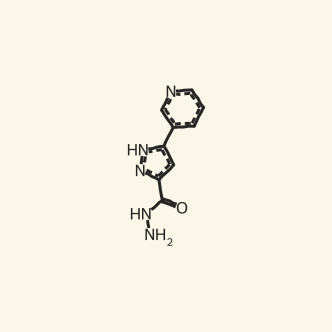 NNC(=O)c1cc(-c2cccnc2)[nH]n1